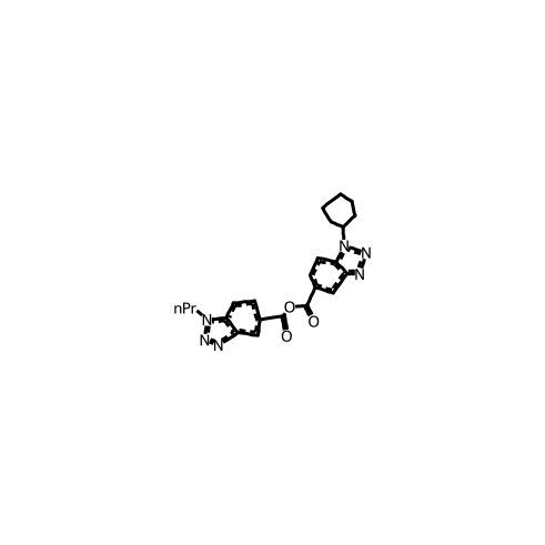 CCCn1nnc2cc(C(=O)OC(=O)c3ccc4c(c3)nnn4C3CCCCC3)ccc21